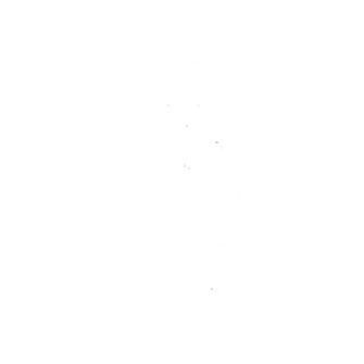 COc1ccc(S(=O)(=O)N2CCN(Cc3cc(N4CCCN(C)CC4)ccc3C#N)CC2)cc1